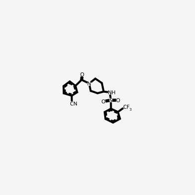 N#Cc1cccc(C(=O)N2CCC(NS(=O)(=O)c3ccccc3C(F)(F)F)CC2)c1